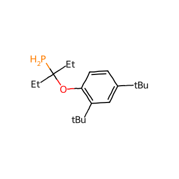 CCC(P)(CC)Oc1ccc(C(C)(C)C)cc1C(C)(C)C